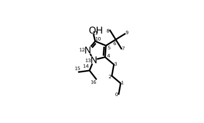 CCCCc1c(C(C)(C)C)c(O)nn1C(C)C